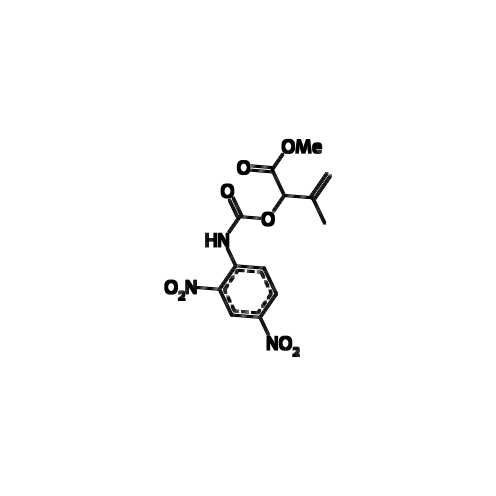 C=C(C)C(OC(=O)Nc1ccc([N+](=O)[O-])cc1[N+](=O)[O-])C(=O)OC